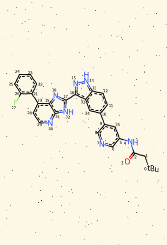 CC(C)(C)CC(=O)Nc1cncc(-c2ccc3[nH]nc(-c4nc5c(-c6ccccc6F)ccnc5[nH]4)c3c2)c1